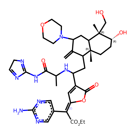 C=C1C(N2CCOCC2)CC2[C@](C)(CC[C@@H](O)[C@@]2(C)CO)C1CC(NC(C)C(=O)NC1=NCC=N1)C1=C/C(=C(/C(=O)OCC)c2cnc(N)nc2)OC1=O